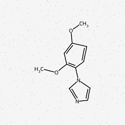 COc1ccc(-n2ccnc2)c(OC)c1